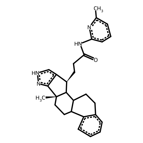 Cc1cccc(NC(=O)CC[C@@H]2c3c[nH]nc3[C@@]3(C)CCC4c5ccccc5CCC4C23)n1